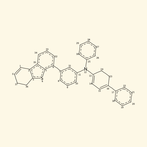 C1=Cc2c(sc3c(-c4cccc(N(C5=CC=C(c6ccccc6)CC5)c5ccccc5)c4)cccc23)CC1